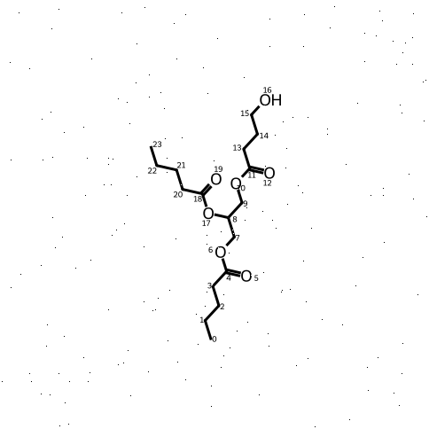 CCCCC(=O)OCC(COC(=O)CCCO)OC(=O)CCCC